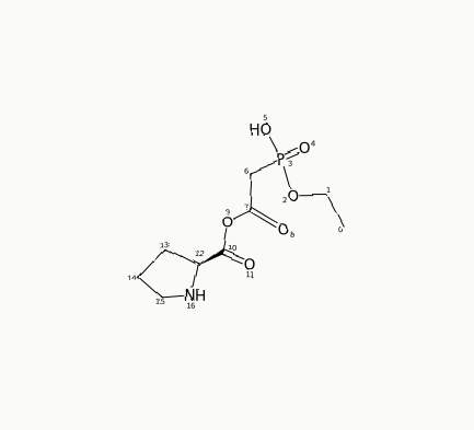 CCOP(=O)(O)CC(=O)OC(=O)[C@@H]1CCCN1